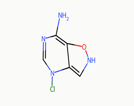 NC1=C2ONC=C2N(Cl)C=N1